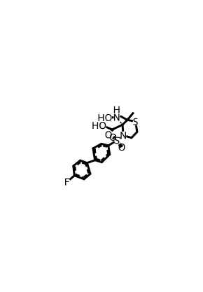 CC1(C)SCCN(S(=O)(=O)c2ccc(-c3ccc(F)cc3)cc2)[C@@]1(NO)C(=O)O